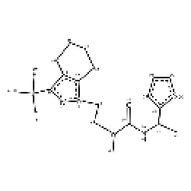 CC(CCn1nc(C(F)(F)F)c2c1CCCC2)C(=O)NC(C)c1cccs1